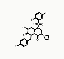 CC(C)N1CC2N(C(=O)C(N3CCC3)CN2S(=O)(=O)c2cc(Cl)ccc2F)C(Cc2ccc(Cl)cc2)C1=O